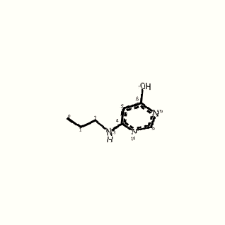 CCCNc1cc(O)ncn1